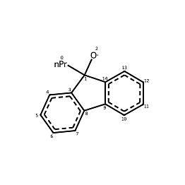 CCCC1([O])c2ccccc2-c2ccccc21